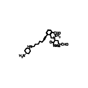 CNC(=O)C(CCC=O)N(C)Cc1c(C#CCCCCCN[C@H]2CC[C@@H](N)CC2)cccc1C=O